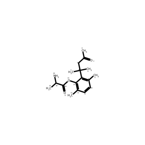 CC(=O)CC(C)(C)c1c(C)ccc(C)c1OC(=O)C(C)N